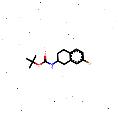 CC(C)(C)OC(=O)NC1CCc2ccc(Br)cc2C1